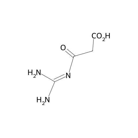 NC(N)=NC(=O)CC(=O)O